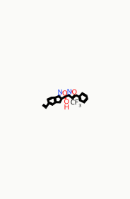 C=Cc1ccc2c(c1)CC1C2=NOC1(O)c1noc(-c2ccccc2)c1C(F)(F)F